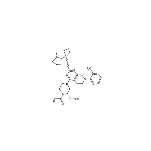 C=CC(=O)N1CCN(c2nc(OCC3(C4CCCN4C)CCC3)nc3c2CCN(c2ccccc2C(F)(F)F)C3)C[C@@H]1CC#N